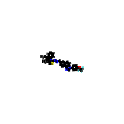 Cc1cs/c(=N\N=C\c2ccc3c(ccc4c3ncn4-c3ccc(OC(F)(F)F)cc3)c2)n1-c1ccccc1C(C)C